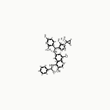 CCC(Nc1c(C#N)cnc2c(Cl)cc(NC(c3ccc(F)nc3C)c3nnn(C4(C(F)(F)F)CC4)c3F)cc12)c1ccccc1